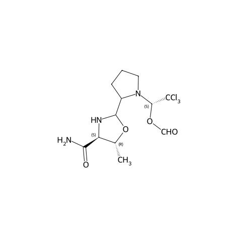 C[C@H]1OC(C2CCCN2[C@@H](OC=O)C(Cl)(Cl)Cl)N[C@@H]1C(N)=O